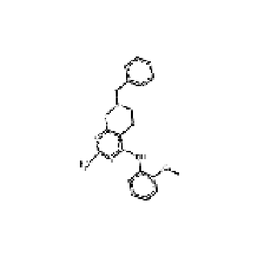 COc1ccccc1Nc1nc(N)nc2c1CCN(Cc1ccccc1)C2